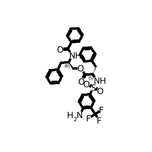 Nc1ccc(S(=O)(=O)N[C@@H](Cc2ccccc2)C(=O)OC[C@@H](Cc2ccccc2)NC(=O)c2ccccc2)cc1C(F)(F)F